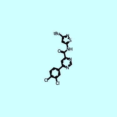 CC(C)(C)c1cc(NC(=O)c2cc(-c3ccc(Cl)c(Cl)c3)ncn2)sn1